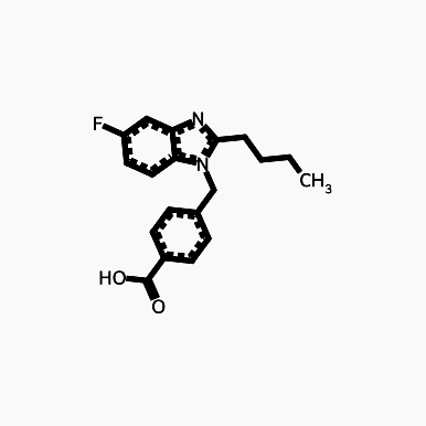 CCCCc1nc2cc(F)ccc2n1Cc1ccc(C(=O)O)cc1